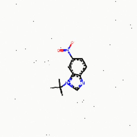 CC(C)(C)n1cnc2ccc([N+](=O)[O-])cc21